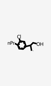 [CH2]C(CO)c1ccc(CCC)c(Cl)c1